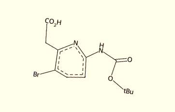 CC(C)(C)OC(=O)Nc1ccc(Br)c(CC(=O)O)n1